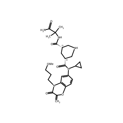 C=C1Oc2ccc(N(C(=O)[C@H]3CNC[C@@H](C(=O)NC(C)(C)C(N)=O)C3)C3CC3)cc2N(CCCOC)C1=O